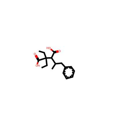 CCC(CC)(C(=O)O)C(C(=O)O)C(C)Cc1ccccc1